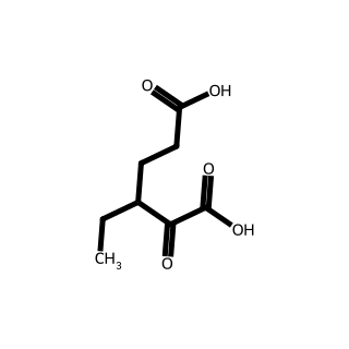 CCC(CCC(=O)O)C(=O)C(=O)O